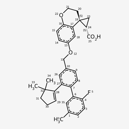 Cc1ccc(F)c(-c2ccc(COc3ccc4c(c3)[C@]3(CCO4)C[C@@H]3C(=O)O)cc2C2=CCCC2(C)C)c1